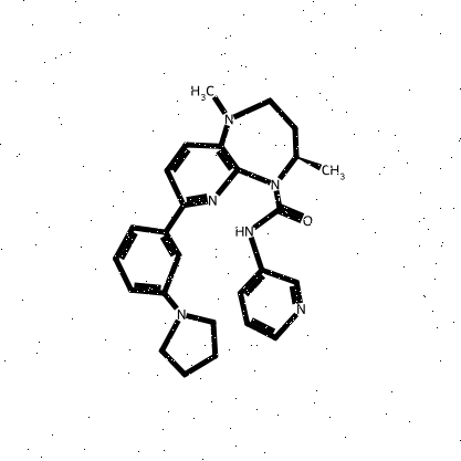 C[C@@H]1CCN(C)c2ccc(-c3cccc(N4CCCC4)c3)nc2N1C(=O)Nc1cccnc1